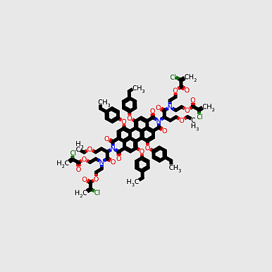 C=C(Cl)C(=O)OCCN(CCOC(=O)C(=C)Cl)C(=O)C(CCOCC)N1C(=O)c2cc(Oc3ccc(CC)cc3)c3c4c(Oc5ccc(CC)cc5)cc5c6c(cc(Oc7ccc(CC)cc7)c(c7c(Oc8ccc(CC)cc8)cc(c2c37)C1=O)c64)C(=O)N(C(CCOCC)C(=O)N(CCOC(=O)C(=C)Cl)CCOC(=O)C(=C)Cl)C5=O